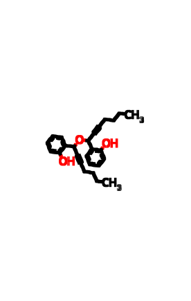 CCCCC#CC(OC(C#CCCCC)c1ccccc1O)c1ccccc1O